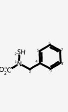 O=C(O)N(S)Cc1ccccc1